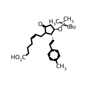 Cc1ccc(/C=C/[C@@H]2C(C/C=C\CCCC(=O)O)C(=O)C[C@H]2O[Si](C)(C)C(C)(C)C)cc1